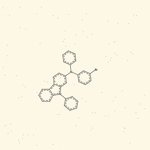 Brc1cccc(N(c2ccccc2)c2ccc3c4ccccc4n(-c4ccccc4)c3c2)c1